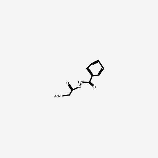 CC(=O)NCC(=O)ONC(=O)c1ccccc1